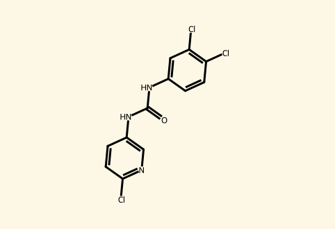 O=C(Nc1ccc(Cl)nc1)Nc1ccc(Cl)c(Cl)c1